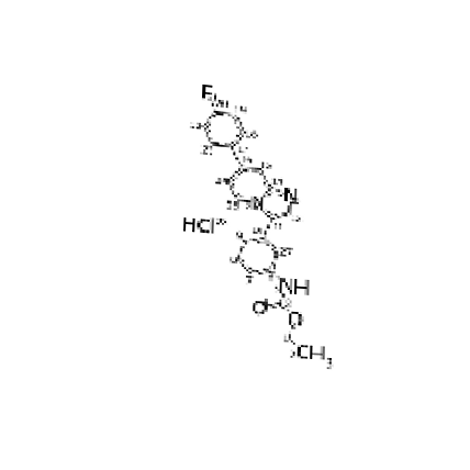 CCOC(=O)Nc1cccc(-c2cnc3cc(-c4ccc(F)cc4)ccn23)c1.Cl